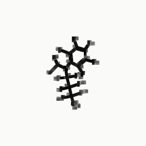 CC(F)N(c1c(F)c(F)c(F)c(F)c1F)C(F)(F)C(F)(F)C(F)(F)C(F)(F)F